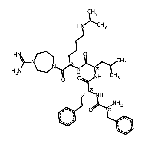 CC(C)C[C@@H](NC(=O)[C@@H](CCc1ccccc1)NC(=O)[C@H](N)Cc1ccccc1)C(=O)N[C@H](CCCCNC(C)C)C(=O)N1CCCN(C(=N)N)CC1